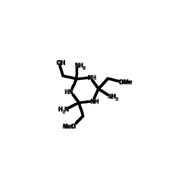 COCC1(N)NC(N)(CO)NC(N)(COC)N1